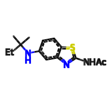 CCC(C)(C)Nc1ccc2sc(NC(C)=O)nc2c1